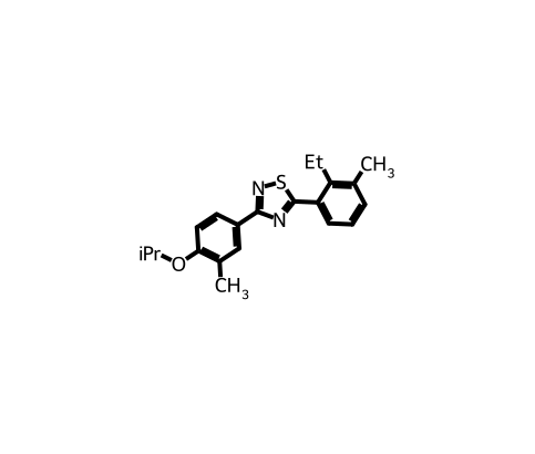 CCc1c(C)cccc1-c1nc(-c2ccc(OC(C)C)c(C)c2)ns1